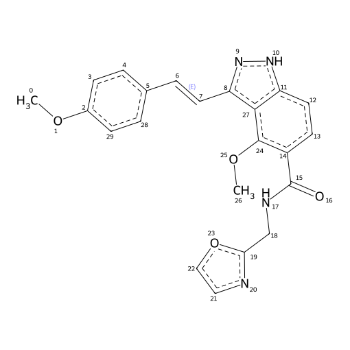 COc1ccc(/C=C/c2n[nH]c3ccc(C(=O)NCc4ncco4)c(OC)c23)cc1